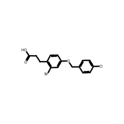 O=C(O)CCc1ccc(OCc2ccc(Cl)cc2)cc1Br